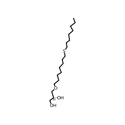 CCCCCCCCSCCCCCCCCOC[C@H](O)CO